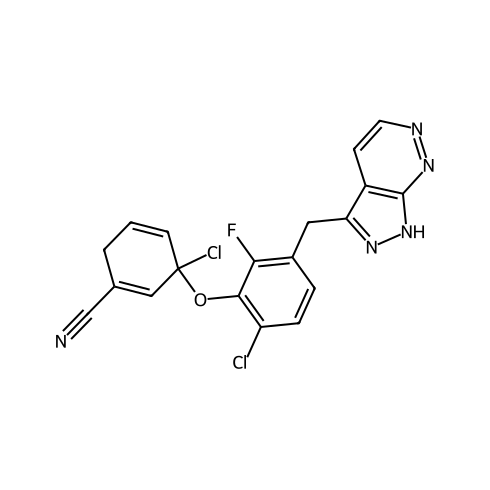 N#CC1=CC(Cl)(Oc2c(Cl)ccc(Cc3n[nH]c4nnccc34)c2F)C=CC1